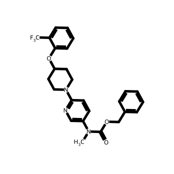 CN(C(=O)OCc1ccccc1)c1ccc(N2CCC(Oc3ccccc3C(F)(F)F)CC2)nc1